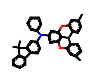 Cc1ccc2c(c1)Oc1cc(N(c3ccccc3)c3ccc4c(c3)C(C)(C)c3ccccc3-4)cc3c1B2c1ccc(C)cc1O3